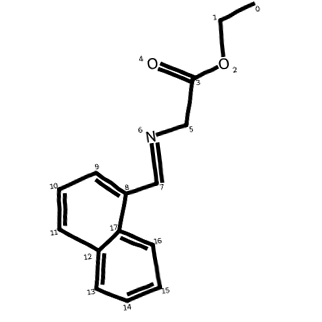 CCOC(=O)CN=Cc1cccc2ccccc12